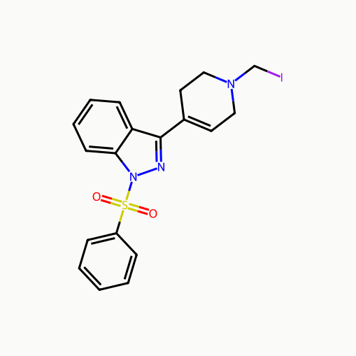 O=S(=O)(c1ccccc1)n1nc(C2=CCN(CI)CC2)c2ccccc21